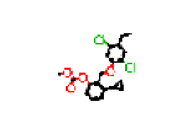 CCc1cc(Cl)c(OCc2c(OC(=O)OC)cccc2C2CC2)cc1Cl